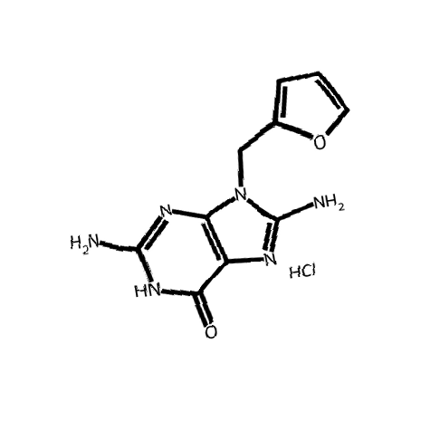 Cl.Nc1nc2c(nc(N)n2Cc2ccco2)c(=O)[nH]1